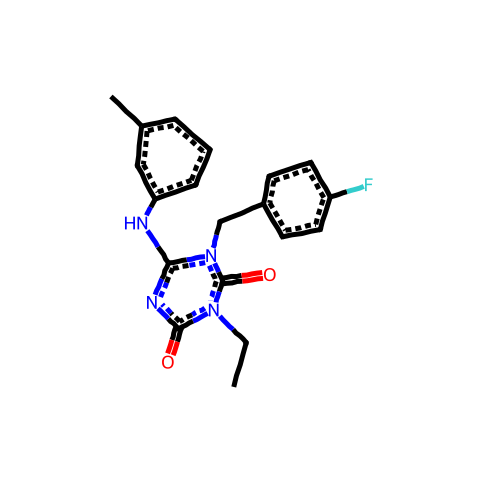 CCn1c(=O)nc(Nc2cccc(C)c2)n(Cc2ccc(F)cc2)c1=O